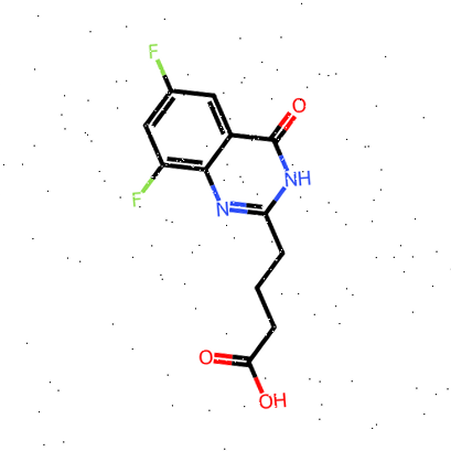 O=C(O)CCCc1nc2c(F)cc(F)cc2c(=O)[nH]1